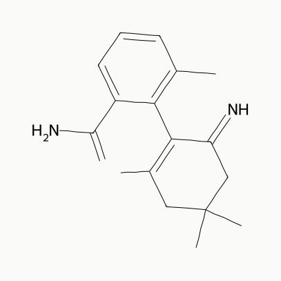 C=C(N)c1cccc(C)c1C1=C(C)CC(C)(C)CC1=N